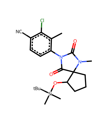 Cc1c(N2C(=O)N(C)C3(CCCC3O[Si](C)(C)C(C)(C)C)C2=O)ccc(C#N)c1Cl